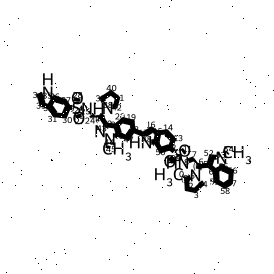 C[C@H]1CCCN1[C@@H](CNS(=O)(=O)c1ccc2cc(-c3ccc4c([C@@H](CNS(=O)(=O)c5ccc6cc[nH]c6c5)N5CCCC5)nn(C)c4c3)[nH]c2c1)c1cn(C)c2ccccc12